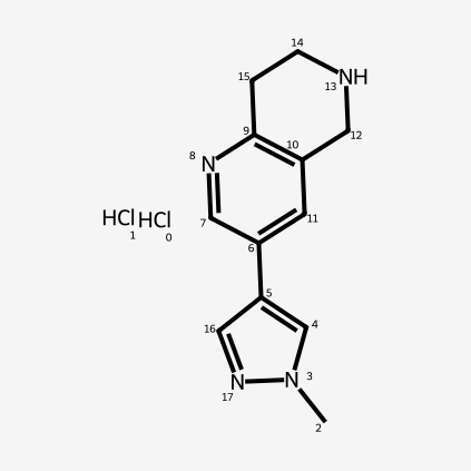 Cl.Cl.Cn1cc(-c2cnc3c(c2)CNCC3)cn1